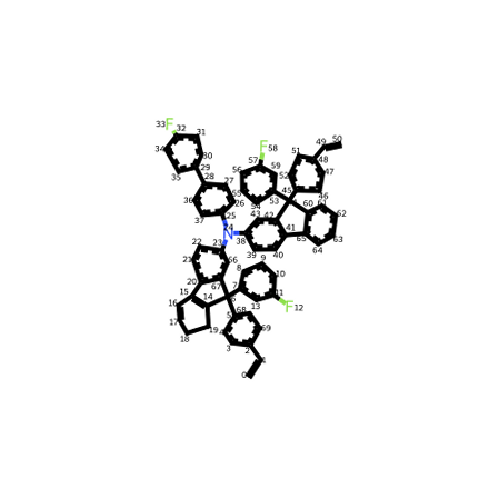 C=Cc1ccc(C2(c3cccc(F)c3)C3=C(C=CCC3)c3ccc(N(c4ccc(-c5ccc(F)cc5)cc4)c4ccc5c(c4)C(c4ccc(C=C)cc4)(c4cccc(F)c4)c4ccccc4-5)cc32)cc1